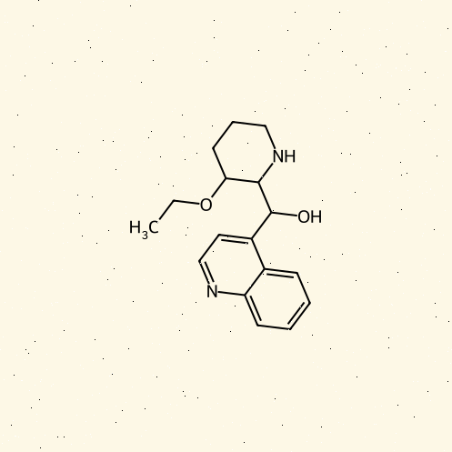 CCOC1CCCNC1C(O)c1ccnc2ccccc12